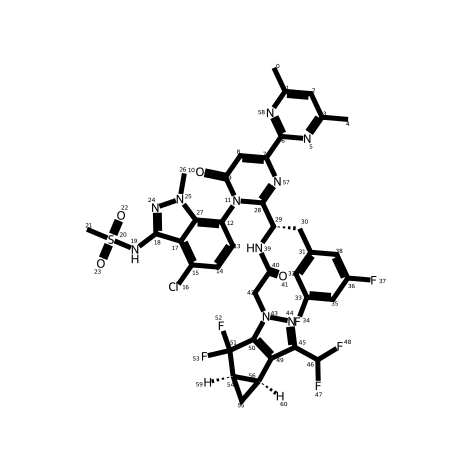 Cc1cc(C)nc(-c2cc(=O)n(-c3ccc(Cl)c4c(NS(C)(=O)=O)nn(C)c34)c([C@H](Cc3cc(F)cc(F)c3)NC(=O)Cn3nc(C(F)F)c4c3C(F)(F)[C@@H]3C[C@H]43)n2)n1